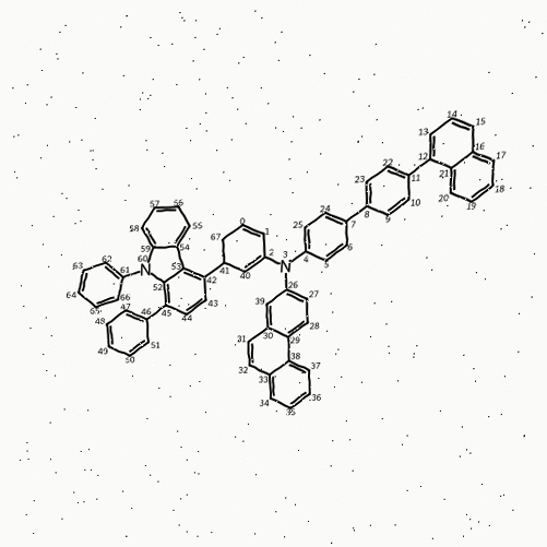 C1=CC(N(c2ccc(-c3ccc(-c4cccc5ccccc45)cc3)cc2)c2ccc3c(ccc4ccccc43)c2)=CC(c2ccc(-c3ccccc3)c3c2c2ccccc2n3-c2ccccc2)C1